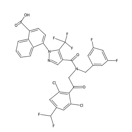 O=C(CN(Cc1cc(F)cc(F)c1)C(=O)c1cnn(-c2ccc(C(=O)O)c3ccccc23)c1C(F)(F)F)c1c(Cl)cc(C(F)F)cc1Cl